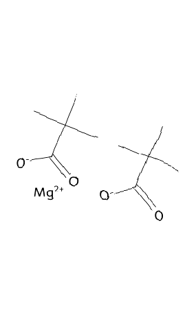 CC(C)(C)C(=O)[O-].CC(C)(C)C(=O)[O-].[Mg+2]